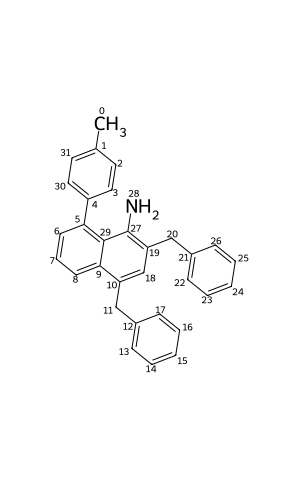 Cc1ccc(-c2cccc3c(Cc4ccccc4)cc(Cc4ccccc4)c(N)c23)cc1